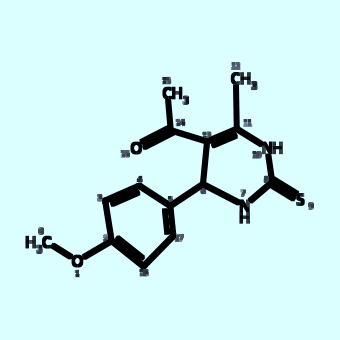 COc1ccc(C2NC(=S)NC(C)=C2C(C)=O)cc1